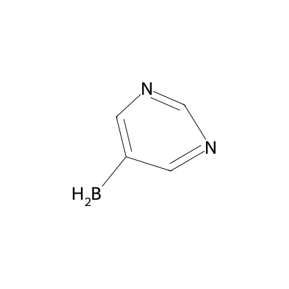 Bc1cncnc1